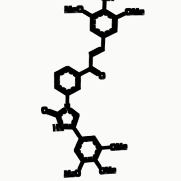 COc1cc(C=CC(=O)c2cccc(-n3cc(-c4cc(OC)c(OC)c(OC)c4)[nH]c3=O)c2)cc(OC)c1O